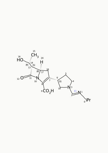 CC(C)/N=C/N1CC[C@@H](C2=C(C(=O)O)N3C(=O)[C@H]([C@@H](C)O)[C@H]3C2)C1